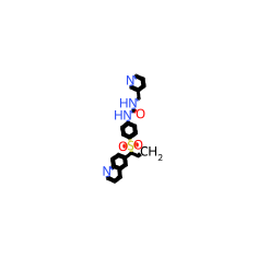 C=CC(c1ccc2ncccc2c1)S(=O)(=O)c1ccc(NC(=O)NCc2cccnc2)cc1